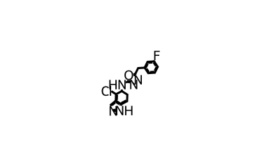 Fc1cccc(Cc2nnc(NC3CC=c4[nH]ncc4=C3Cl)o2)c1